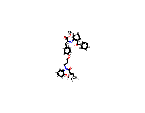 C/C=C/C(=O)N(CCCOc1ccc(C[C@H](Nc2ccccc2C(=O)c2ccccc2)C(=O)OC)cc1)c1ccccc1OC